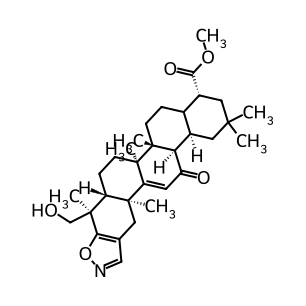 COC(=O)[C@@H]1CC(C)(C)C[C@@H]2C1CC[C@]1(C)[C@@H]2C(=O)C=C2[C@@]3(C)Cc4cnoc4[C@@](C)(CO)[C@@H]3CC[C@]21C